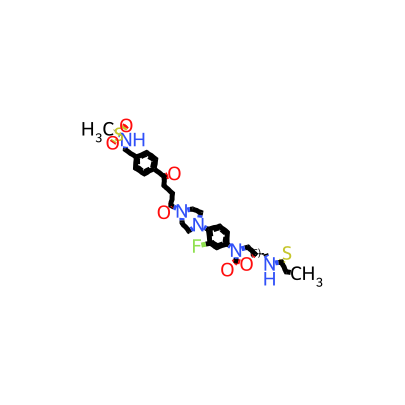 CCC(=S)NC[C@H]1CN(c2ccc(N3CCN(C(=O)CCC(=O)c4ccc(CNS(C)(=O)=O)cc4)CC3)c(F)c2)C(=O)O1